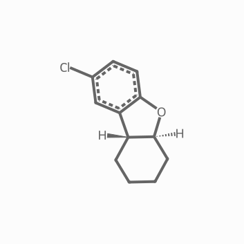 Clc1ccc2c(c1)[C@H]1CCCC[C@@H]1O2